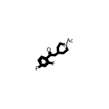 CC(=O)N1CCC(CC(=O)c2ccc(F)cc2F)CC1